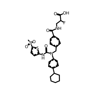 CS(=O)(=O)c1ccc(NC(=O)N(Cc2ccc(C(=O)NCC(F)C(=O)O)cc2)c2ccc(C3CCCCC3)cc2)s1